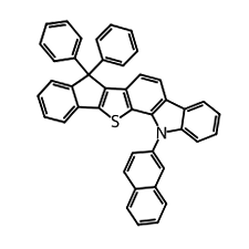 c1ccc(C2(c3ccccc3)c3ccccc3-c3sc4c(ccc5c6ccccc6n(-c6ccc7ccccc7c6)c54)c32)cc1